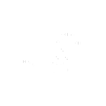 COc1ccc(CN(c2nccc(C(C(=O)O)C(C)C)n2)S(=O)(=O)C2CC2)cc1.[K]